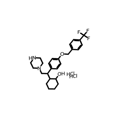 Cl.Cl.OC1CCCCC1C(CN1CCNCC1)c1ccc(OCc2ccc(C(F)(F)F)cc2)cc1